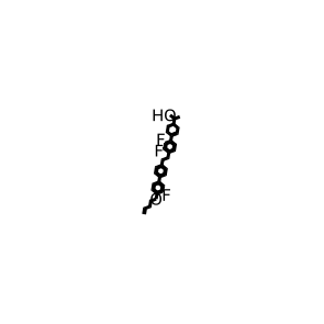 C=CCCOc1ccc(-c2ccc(CCc3ccc(C4=CCC(C(C)O)CC4)c(F)c3F)cc2)cc1F